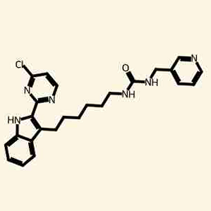 O=C(NCCCCCCc1c(-c2nccc(Cl)n2)[nH]c2ccccc12)NCc1cccnc1